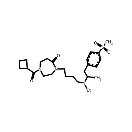 CCN(CCCCN1CCN(C(=O)C2CCC2)CCC1=O)C(C)Cc1ccc(S(C)(=O)=O)cc1